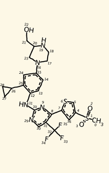 CS(=O)(=O)c1csc(-c2nc(Nc3ccc(N4CCNC(CO)C4)cc3C3CC3)ncc2C(F)(F)F)c1